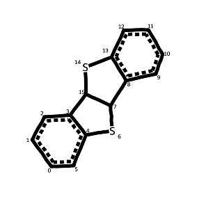 c1ccc2c(c1)SC1c3ccccc3SC21